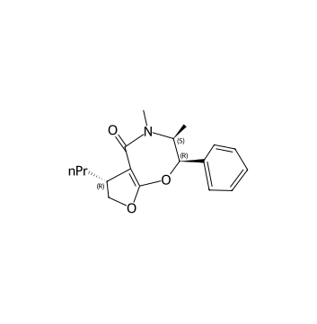 CCC[C@H]1COC2=C1C(=O)N(C)[C@@H](C)[C@@H](c1ccccc1)O2